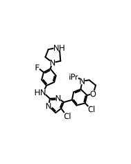 CC(C)N1CCOc2c(Cl)cc(-c3nc(Nc4ccc(N5CCNCC5)c(F)c4)ncc3Cl)cc21